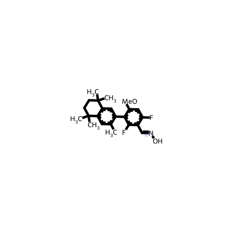 COc1cc(F)c(/C=N/O)c(F)c1-c1cc2c(cc1C)C(C)(C)CCC2(C)C